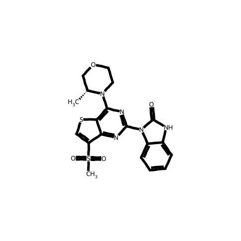 C[C@@H]1COCCN1c1nc(-n2c(=O)[nH]c3ccccc32)nc2c(S(C)(=O)=O)csc12